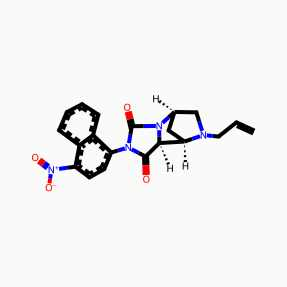 C=CCN1C[C@H]2C[C@@H]1[C@H]1C(=O)N(c3ccc([N+](=O)[O-])c4ccccc34)C(=O)N21